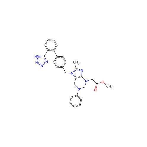 COC(=O)CN1CN(c2ccccc2)Cc2c1nc(C)n2Cc1ccc(-c2ccccc2-c2nnn[nH]2)cc1